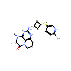 C[C@H]1C(=O)N2CCCc3nc(N[C@H]4C[C@H](Sc5ccc(C(F)(F)F)nc5)C4)nc(c32)N1C